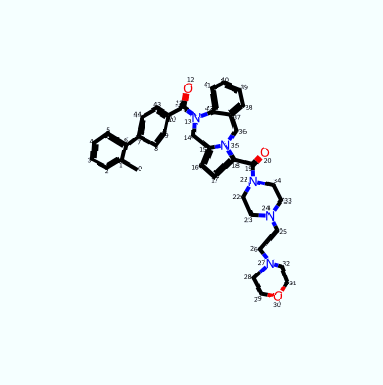 Cc1ccccc1-c1ccc(C(=O)N2Cc3ccc(C(=O)N4CCN(CCN5CCOCC5)CC4)n3Cc3ccccc32)cc1